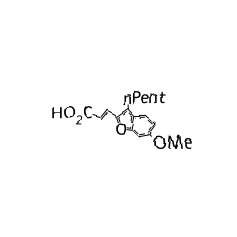 CCCCCc1c(C=CC(=O)O)oc2cc(OC)ccc12